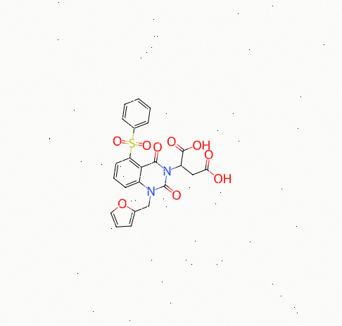 O=C(O)CC(C(=O)O)n1c(=O)c2c(S(=O)(=O)c3ccccc3)cccc2n(Cc2ccco2)c1=O